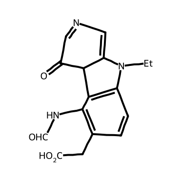 CCN1C2=CN=CC(=O)C2c2c1ccc(CC(=O)O)c2NC=O